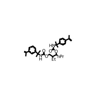 C=C(C)c1ccc(C(C)(C)NC(=O)OC(CCC)C(CC)COC(=O)NC(C)(C)c2cccc(C(=C)C)c2)cc1